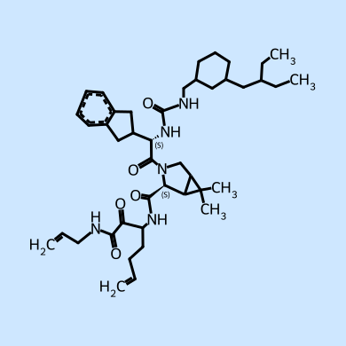 C=CCCC(NC(=O)[C@@H]1C2C(CN1C(=O)[C@@H](NC(=O)NCC1CCCC(CC(CC)CC)C1)C1Cc3ccccc3C1)C2(C)C)C(=O)C(=O)NCC=C